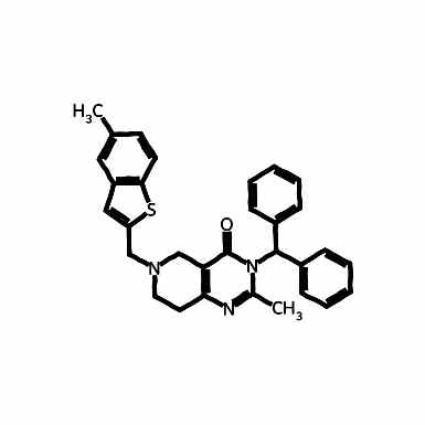 Cc1ccc2sc(CN3CCc4nc(C)n(C(c5ccccc5)c5ccccc5)c(=O)c4C3)cc2c1